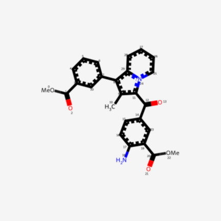 COC(=O)c1cccc(-c2c(C)c(C(=O)c3ccc(N)c(C(=O)OC)c3)n3ccccc23)c1